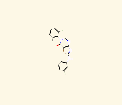 Cc1cccc(Cl)c1-n1cnc2nc(Nc3cccc(Cl)c3)sc2c1=O